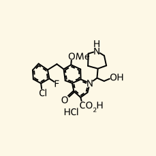 COc1cc2c(cc1Cc1cccc(Cl)c1F)c(=O)c(C(=O)O)cn2C(CO)C1CCNCC1.Cl